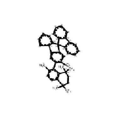 Cc1ccc2c(c1-c1cc3c(cc1N)C1(c4ccccc4-c4ccccc41)c1ccccc1-3)C(C)(C)CCC2(C)C